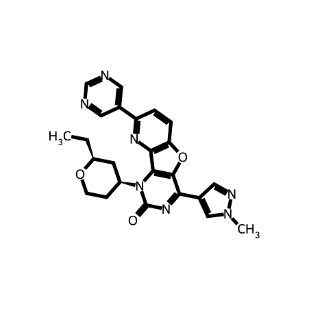 CC[C@H]1C[C@@H](n2c(=O)nc(-c3cnn(C)c3)c3oc4ccc(-c5cncnc5)nc4c32)CCO1